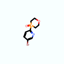 O=P1(c2ccc(Br)cn2)CCOCC1